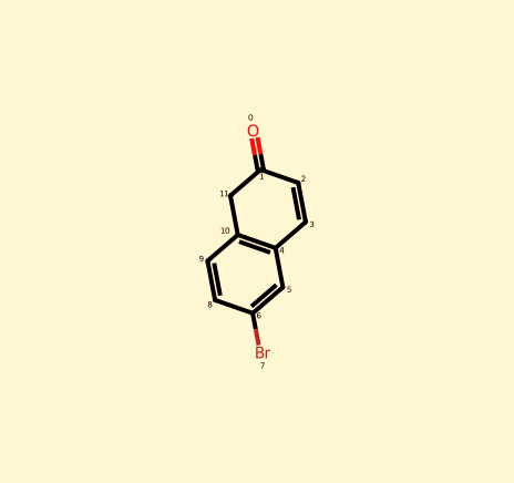 O=C1C=Cc2cc(Br)ccc2C1